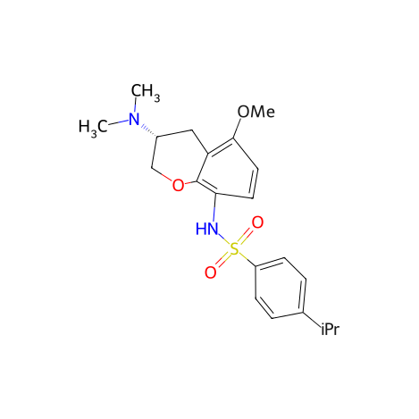 COc1ccc(NS(=O)(=O)c2ccc(C(C)C)cc2)c2c1C[C@@H](N(C)C)CO2